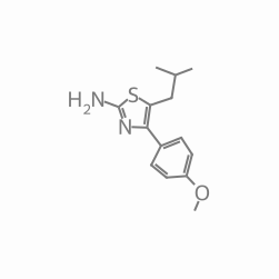 COc1ccc(-c2nc(N)sc2CC(C)C)cc1